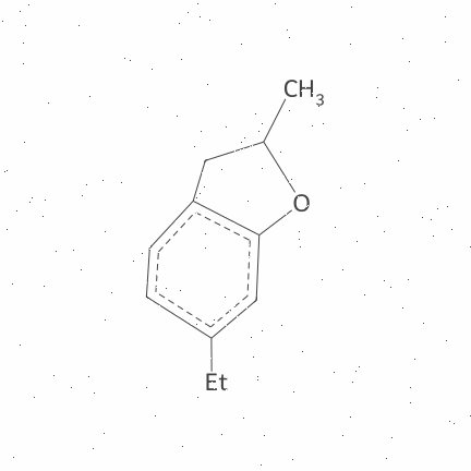 CCc1ccc2c(c1)OC(C)C2